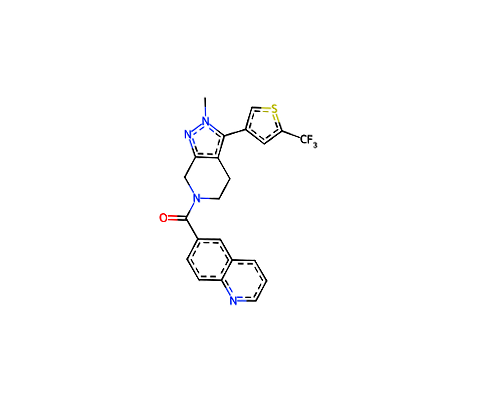 Cn1nc2c(c1-c1csc(C(F)(F)F)c1)CCN(C(=O)c1ccc3ncccc3c1)C2